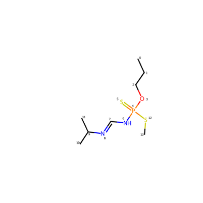 CCCOP(=S)(NC=NC(C)C)SC